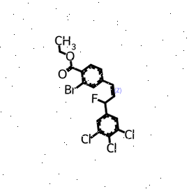 CCOC(=O)c1ccc(/C=C\C(F)c2cc(Cl)c(Cl)c(Cl)c2)cc1Br